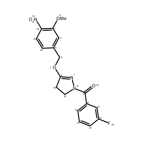 COc1cc(COC2=NN(C(=O)c3cccc(F)c3)CC2)ccc1[N+](=O)[O-]